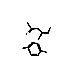 CCC(C)CC(C)=O.Cc1ccc(C)cc1